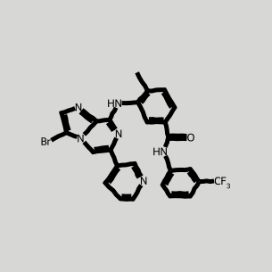 Cc1ccc(C(=O)Nc2cccc(C(F)(F)F)c2)cc1Nc1nc(-c2cccnc2)cn2c(Br)cnc12